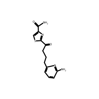 NC(=O)c1csc(C(=O)[CH]CCc2cccc(N)n2)n1